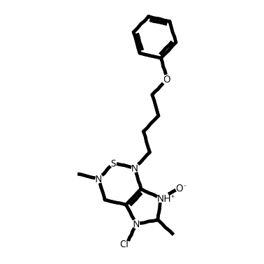 CC1N(Cl)C2=C(N(CCCCOc3ccccc3)SN(C)C2)[NH+]1[O-]